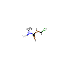 CCCN(CCC)C(=S)SCCl